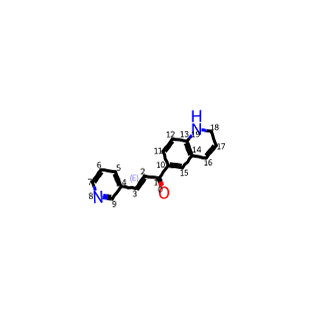 O=C(/C=C/c1cccnc1)c1ccc2c(c1)C=CCN2